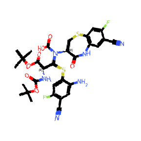 CC(C)(C)OC(=O)N[C@H](C(=O)OC(C)(C)C)C(Sc1cc(F)c(C#N)cc1N)N(C(=O)O)[C@H]1CSc2cc(F)c(C#N)cc2NC1=O